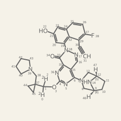 [2H]C([2H])(Oc1nc(N2C[C@H]3CC[C@@H](C2)N3)c2cnn(-c3cc(O)cc4ccc(F)c(C#C)c34)c(=O)c2n1)C1(CN2CCCC2)CC1